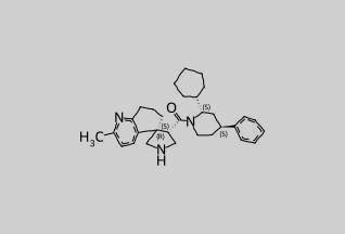 Cc1ccc2c(n1)CCC[C@]21CNC[C@H]1C(=O)N1CC[C@H](c2ccccc2)C[C@H]1C1CCCCC1